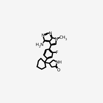 Cn1cc(-c2ccc(C3(C4CNC(=O)C4)CCCCC3)cc2F)c2c(N)ncnc21